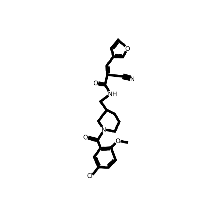 COc1ccc(Cl)cc1C(=O)N1CCCC(CNC(=O)/C(C#N)=C/c2ccoc2)C1